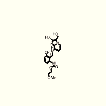 COCCOC(=O)Nc1cccc(C)c1CNc1cccn2c(CO)c(C)nc12